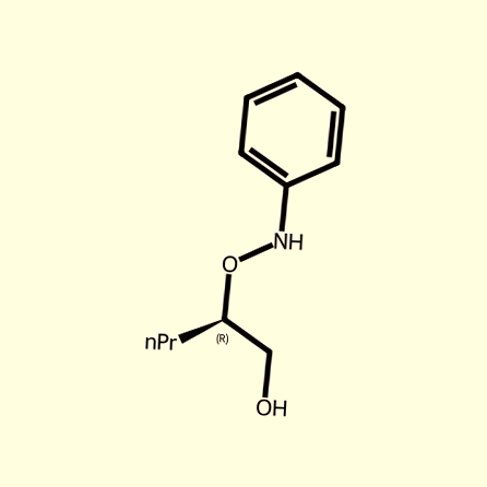 CCC[C@H](CO)ONc1ccccc1